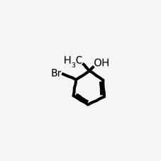 CC1(O)C=CC=CC1Br